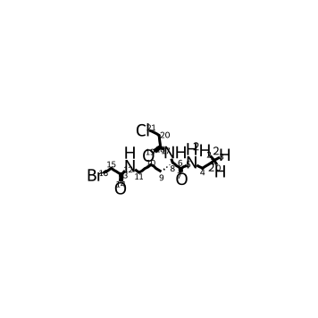 [2H]C([2H])([2H])CNC(=O)[C@H](CCCNC(=O)CBr)NC(=O)CCl